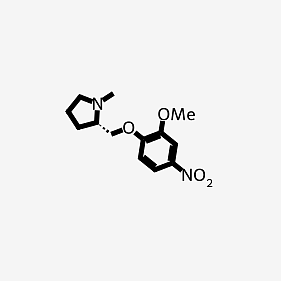 COc1cc([N+](=O)[O-])ccc1OC[C@@H]1CCCN1C